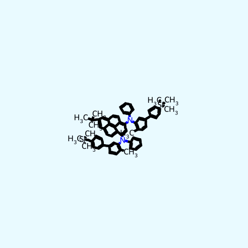 Cc1ccc(-c2ccc([Si](C)(C)C)cc2)cc1N(c1ccccc1)c1cc(N(c2ccccc2)c2cc(-c3ccc([Si](C)(C)C)cc3)ccc2C)c2ccc3cc(C(C)(C)C)cc4ccc1c2c43